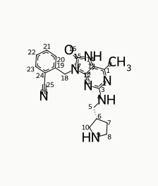 Cc1nc(NC[C@@H]2CCNC2)nc2c1[nH]c(=O)n2Cc1ccccc1C#N